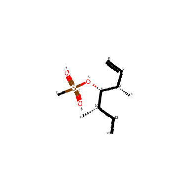 C=C[C@H](C)[C@@H](OS(C)(=O)=O)[C@@H](C)CC